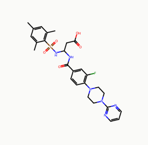 Cc1cc(C)c(S(=O)(=O)NC(CC(=O)O)NC(=O)c2ccc(N3CCN(c4ncccn4)CC3)c(F)c2)c(C)c1